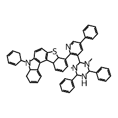 CN1C(c2ccccc2)NC(c2ccccc2)N(C)C1c1cc(-c2ccccc2)cnc1C1=CC=CC2c3c(ccc4c3C3=CC=CCC3N4C3C=CC=CC3)SC12